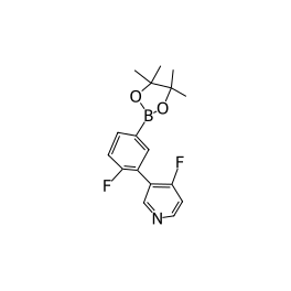 CC1(C)OB(c2ccc(F)c(-c3cnccc3F)c2)OC1(C)C